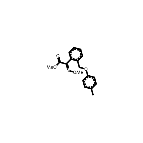 CO/N=C(/C(=O)OC)c1ccccc1COc1ccc(C)cc1